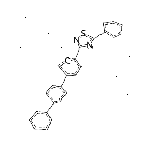 c1ccc(-c2ccc(-c3ccc(-c4nsc(-c5ccccc5)n4)cc3)cc2)cc1